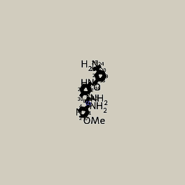 COc1cncc(/C(N)=C/N(N)c2cc(NC(=O)c3cccc(C(C)(C)N)c3)ccc2C)c1